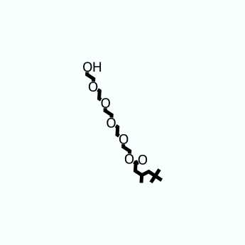 CC(CC(=O)OCCOCCOCCOCCOCCO)CC(C)(C)C